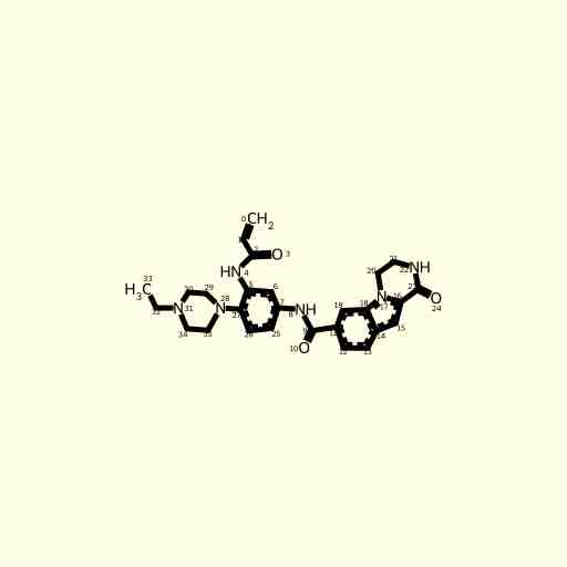 C=CC(=O)Nc1cc(NC(=O)c2ccc3cc4n(c3c2)CCNC4=O)ccc1N1CCN(CC)CC1